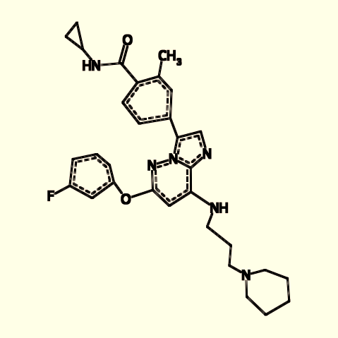 Cc1cc(-c2cnc3c(NCCCN4CCCCC4)cc(Oc4cccc(F)c4)nn23)ccc1C(=O)NC1CC1